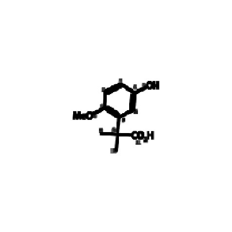 COc1ccc(O)cc1C(C)(C)C(=O)O